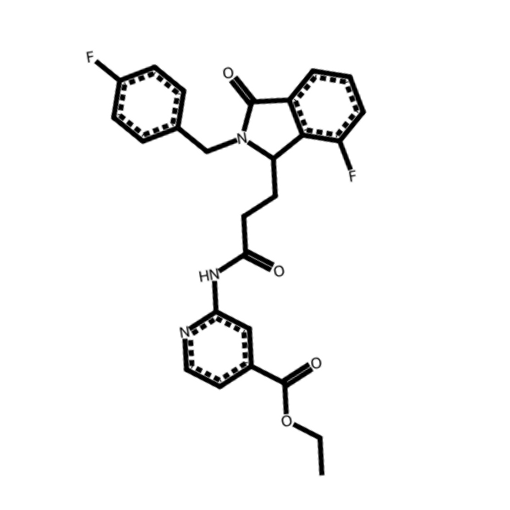 CCOC(=O)c1ccnc(NC(=O)CCC2c3c(F)cccc3C(=O)N2Cc2ccc(F)cc2)c1